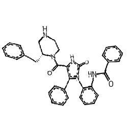 O=C(Nc1ccccc1-n1c(-c2ccccc2)c(C(=O)N2CCNC[C@H]2Cc2ccccc2)[nH]c1=O)c1ccccc1